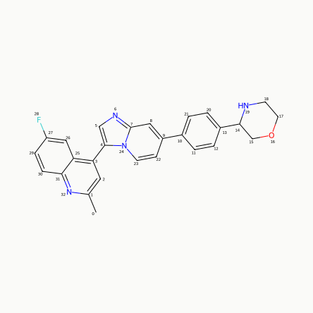 Cc1cc(-c2cnc3cc(-c4ccc(C5COCCN5)cc4)ccn23)c2cc(F)ccc2n1